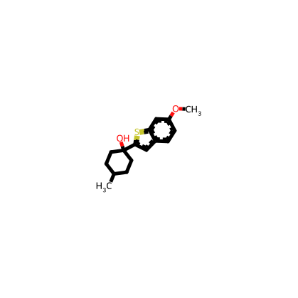 COc1ccc2cc(C3(O)CCC(C)CC3)sc2c1